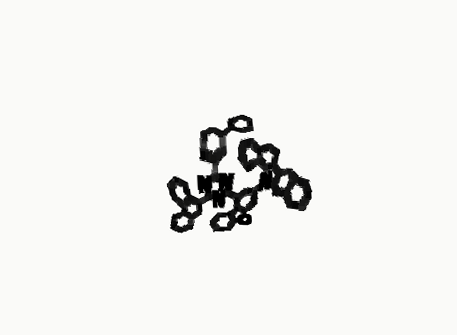 c1ccc(-c2cccc(-c3nc(-c4cc5ccccc5c5ccccc45)nc(-c4cc(-n5c6cc7ccccc7cc6c6ccc7ccccc7c65)cc5oc6ccccc6c45)n3)c2)cc1